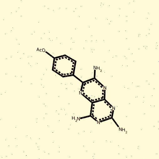 CC(=O)Oc1ccc(-c2nc3c(N)nc(N)nc3nc2N)cc1